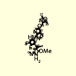 C/N=C(/N)S[C@@]1(COC)C(C)[C@H]1c1cc(Nc2ncnc3cc(OCc4nc(C)oc4C)cnc23)cc(F)c1F